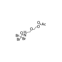 CC(=O)C(=O)OCCOCCNC(=O)C(Br)(Br)Br